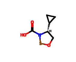 O=C(O)N1SOC[C@H]1C1CC1